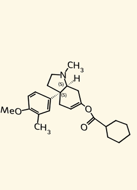 COc1ccc([C@@]23CC=C(OC(=O)C4CCCCC4)C[C@@H]2N(C)CC3)cc1C